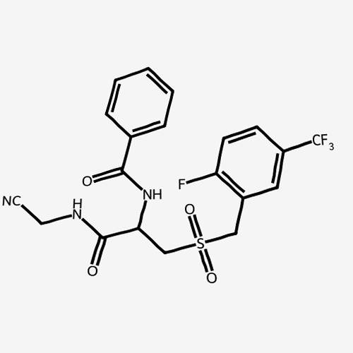 N#CCNC(=O)C(CS(=O)(=O)Cc1cc(C(F)(F)F)ccc1F)NC(=O)c1ccccc1